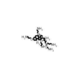 C[C@H](CCCN(CCCN)CCCN)[C@H]1CC[C@H]2C3C(OCCCN)CC4C[C@H](OCCCN)CCC4(C)[C@H]3C[C@H](OCCCN)[C@]12C